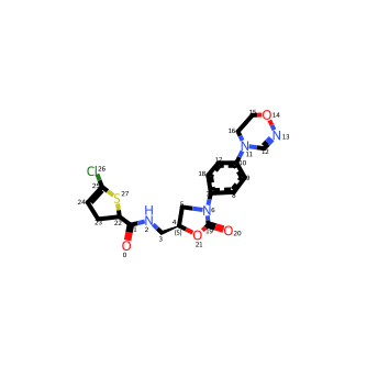 O=C(NC[C@H]1CN(c2ccc(N3C=NOCC3)cc2)C(=O)O1)C1CC=C(Cl)S1